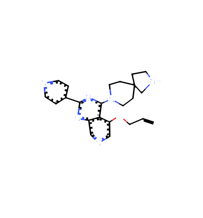 C=CCOc1cncc2nc(-c3ccncc3)nc(N3CCC4(CCNC4)CC3)c12